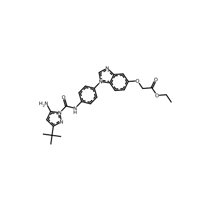 CCOC(=O)COc1ccc2c(c1)ncn2-c1ccc(NC(=O)n2nc(C(C)(C)C)cc2N)cc1